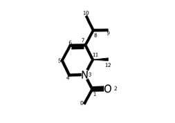 CC(=O)N1CCC=C(C(C)C)[C@H]1C